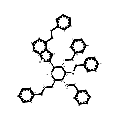 c1ccc(CCc2cccc3sc([C@@H]4O[C@H](COCc5ccccc5)[C@@H](OCc5ccccc5)[C@H](OCc5ccccc5)[C@H]4OCc4ccccc4)cc23)cc1